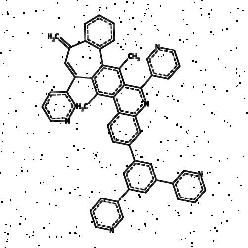 C=C1C=C(c2cccnc2)c2c(c(C)c3c(-c4cccnc4)nc4cc(-c5cc(-c6cccnc6)cc(-c6cccnc6)c5)ccc4c3c2C)-c2ccccc21